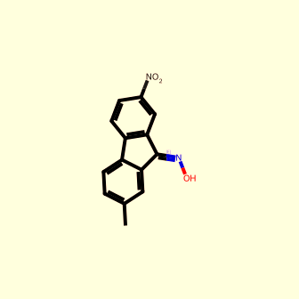 Cc1ccc2c(c1)/C(=N\O)c1cc([N+](=O)[O-])ccc1-2